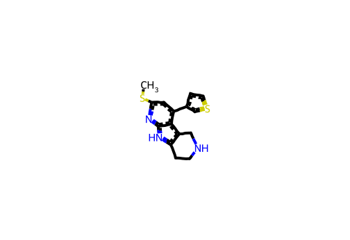 CSc1cc(-c2ccsc2)c2c3c([nH]c2n1)CCNC3